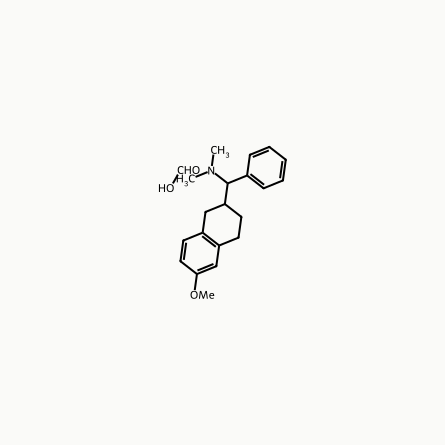 COc1ccc2c(c1)CCC(C(c1ccccc1)N(C)C)C2.O=CO